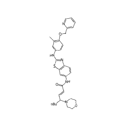 CCCCC(/C=C/C(=O)Nc1ccc2nc(Nc3ccc(OCc4ccccn4)c(C)c3)sc2c1)N1CCOCC1